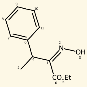 CCOC(=O)C(=NO)C(C)c1ccccc1